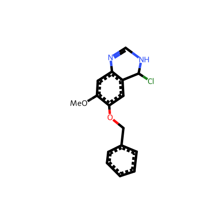 COc1cc2c(cc1OCc1ccccc1)C(Cl)NC=N2